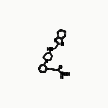 O=C(C=Cc1ccccc1N1CCC(NCc2nc3ccccc3s2)CC1)NO